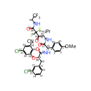 COc1ccc([C@H](NC(=O)[C@@H](Cc2cccc(Cl)c2)Oc2cc(Cl)cc(C#N)c2)C(=O)N[C@H](C(=O)C(F)(F)C(=O)NCC(F)(F)F)C(C)C)cc1